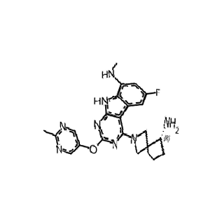 CNc1cc(F)cc2c1[nH]c1nc(Oc3cnc(C)nc3)nc(N3CC4(CC[C@H]4N)C3)c12